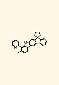 Cc1ccc2c(oc3cc4c(cc32)-c2ccccc2C42CCCC2)c1-c1ccccn1